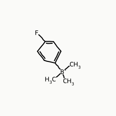 C[B-](C)(C)c1ccc(F)cc1